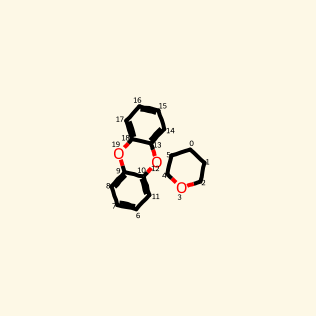 C1CCOCC1.c1ccc2c(c1)Oc1ccccc1O2